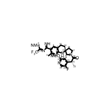 CN/C(=N\C(=N)c1cc2c(nc1C)N[C@]1(CC2)CCN(C(=O)[C@H](C)c2cc(OC)ncc2F)C1)C(F)(F)F